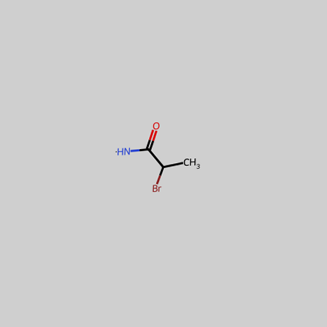 CC(Br)C([NH])=O